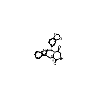 O=C1NCC(=O)N2[C@@H](c3ccc4c(c3)OCO4)c3[nH]c4ccccc4c3C[C@H]12